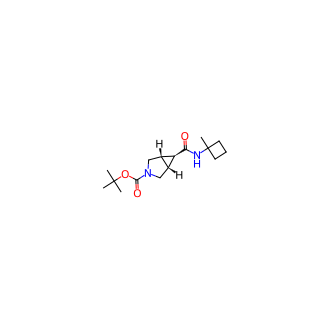 CC1(NC(=O)[C@H]2[C@@H]3CN(C(=O)OC(C)(C)C)C[C@@H]32)CCC1